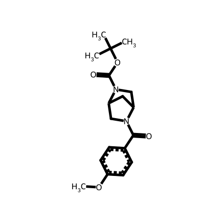 COc1ccc(C(=O)N2CC3CC2CN3C(=O)OC(C)(C)C)cc1